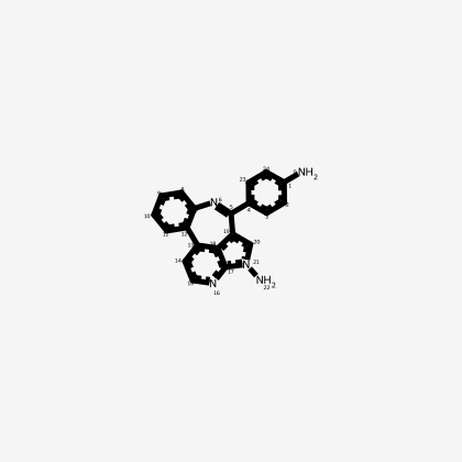 Nc1ccc(C2=Nc3ccccc3-c3ccnc4c3c2cn4N)cc1